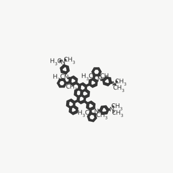 CN(C)c1ccc(N2c3ccc(-c4cc(-c5ccc6c(c5)C5(C)CCCCC5(C)N6c5ccc(N(C)C)cc5)c5ccc6c(-c7cccc8ccccc78)cc(-c7ccc8c(c7)C7(C)CCCCC7(C)N8c7ccc(N(C)C)cc7)c7ccc4c5c76)cc3C3(C)CCCCC23C)cc1